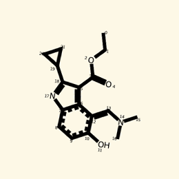 CCOC(=O)C1=c2c(ccc(O)c2=CN(C)C)N=C1C1CC1